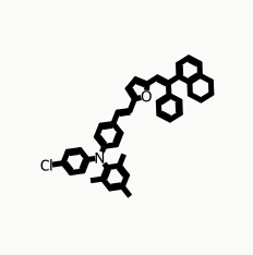 Cc1cc(C)c(N(c2ccc(Cl)cc2)c2ccc(C=Cc3ccc(C=C(c4ccccc4)c4cccc5c4CCCC5)o3)cc2)c(C)c1